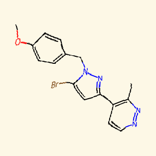 COc1ccc(Cn2nc(-c3ccnnc3C)cc2Br)cc1